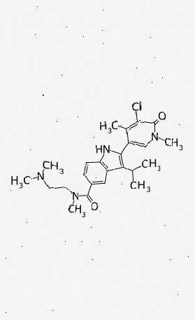 Cc1c(-c2[nH]c3ccc(C(=O)N(C)CCN(C)C)cc3c2C(C)C)cn(C)c(=O)c1Cl